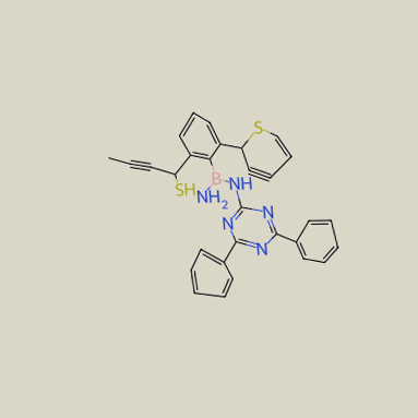 CC#CC(S)c1cccc(C2C#CC=CS2)c1B(N)Nc1nc(-c2ccccc2)nc(-c2ccccc2)n1